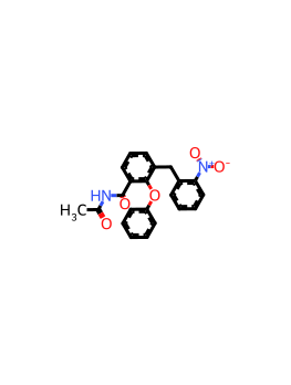 CC(=O)NC(=O)c1cccc(Cc2ccccc2[N+](=O)[O-])c1Oc1ccccc1